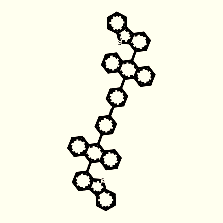 c1ccc2c(c1)sc1c(-c3c4ccccc4c(-c4ccc(-c5ccc(-c6c7ccccc7c(-c7cccc8c7sc7ccccc78)c7ccccc67)cc5)cc4)c4ccccc34)cccc12